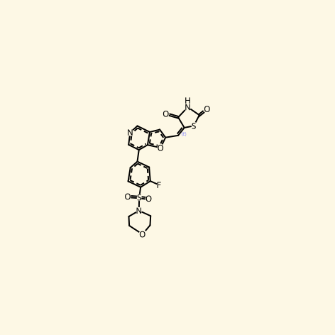 O=C1NC(=O)/C(=C\c2cc3cncc(-c4ccc(S(=O)(=O)N5CCOCC5)c(F)c4)c3o2)S1